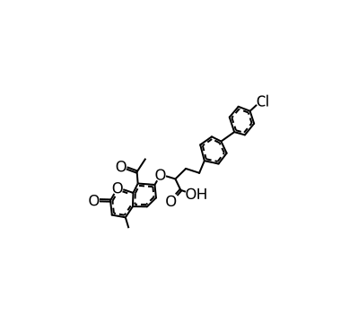 CC(=O)c1c(OC(CCc2ccc(-c3ccc(Cl)cc3)cc2)C(=O)O)ccc2c(C)cc(=O)oc12